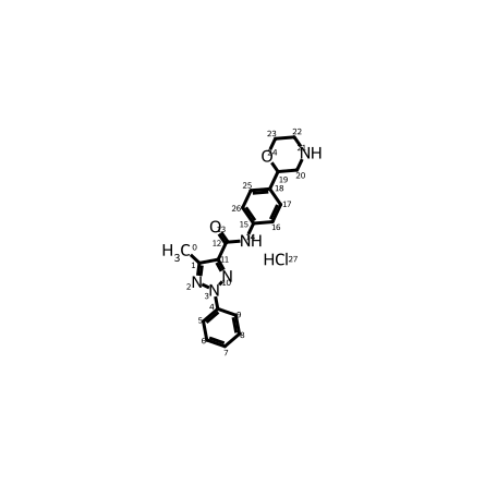 Cc1nn(-c2ccccc2)nc1C(=O)Nc1ccc(C2CNCCO2)cc1.Cl